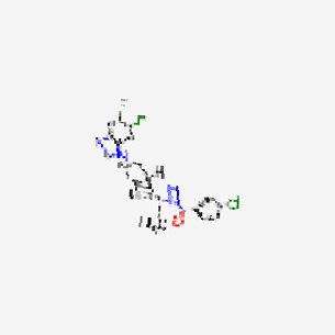 CCC(NC(=O)c1ccc(Cl)cc1)[C@H]1[C@@H]2C[C@@H](n3cnc4cc(F)c(F)cc43)C[C@@H]21